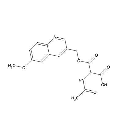 COc1ccc2ncc(COC(=O)C(NC(C)=O)C(=O)O)cc2c1